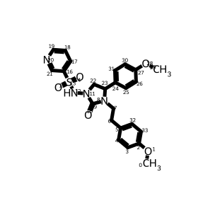 COc1ccc(CCN2C(=O)N(NS(=O)(=O)c3cccnc3)CC2c2ccc(OC)cc2)cc1